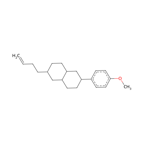 C=CCCC1CCC2CC(c3ccc(OC)cc3)CCC2C1